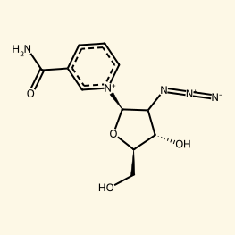 [N-]=[N+]=NC1[C@H]([n+]2cccc(C(N)=O)c2)O[C@H](CO)[C@H]1O